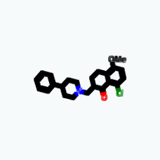 COc1ccc(Cl)c2c1CCC(CN1CCC(c3ccccc3)CC1)C2=O